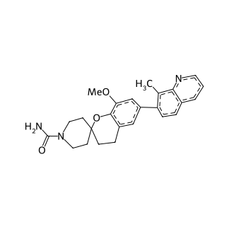 COc1cc(-c2ccc3cccnc3c2C)cc2c1OC1(CC2)CCN(C(N)=O)CC1